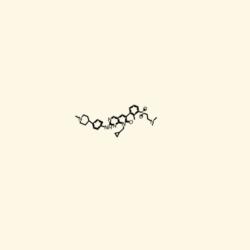 Cc1c(-c2cc3cnc(Nc4ccc(C5CCN(C)CC5)cc4)nc3n(CC3CC3)c2=O)cccc1S(=O)(=O)CCN(C)C